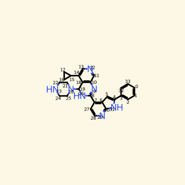 c1ccc(-c2cc3c(C4=Nc5cncc(C6CC6)c5C(N5CCNCC5)N4)ccnc3[nH]2)cc1